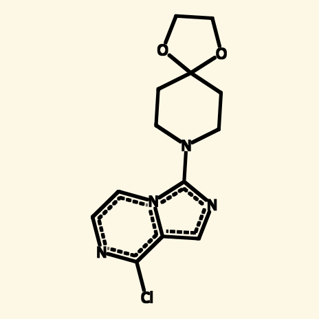 Clc1nccn2c(N3CCC4(CC3)OCCO4)ncc12